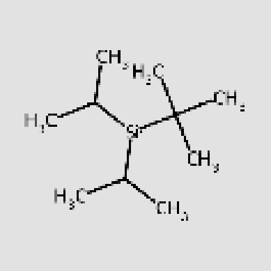 CC(C)[Si](C(C)C)C(C)(C)C